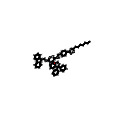 CCCCCCCc1nc(-c2ccc(CNC(=O)[C@H](CCOC(c3ccccc3)(c3ccccc3)c3ccccc3)NC(=O)OCC3c4ccccc4-c4ccccc43)cc2)no1